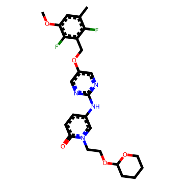 COc1cc(C)c(F)c(COc2cnc(Nc3ccc(=O)n(CCOC4CCCCO4)c3)nc2)c1F